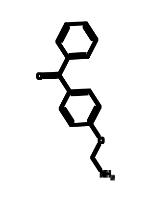 NCOc1ccc(C(=O)c2ccccc2)cc1